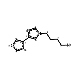 [N]CCCCn1cnc(-c2ccoc2)c1